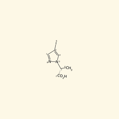 C[C@H](C(=O)O)n1cc(I)cn1